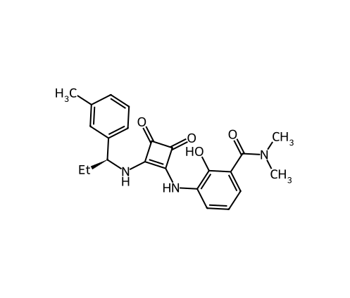 CC[C@H](Nc1c(Nc2cccc(C(=O)N(C)C)c2O)c(=O)c1=O)c1cccc(C)c1